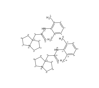 Cc1cccc(C)c1NC(=O)CC12CCCN1CCC2.Cc1cccc(C)c1NC(=O)CC12CCCN1CCC2